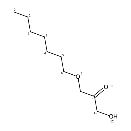 CCCCCCCOCC(=O)CO